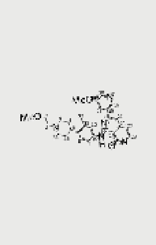 COCCN1CCC(c2ccc(Nc3nc(-c4cncc(OC)c4)cc4c3C(=O)[N]C=C4)cc2C)CC1